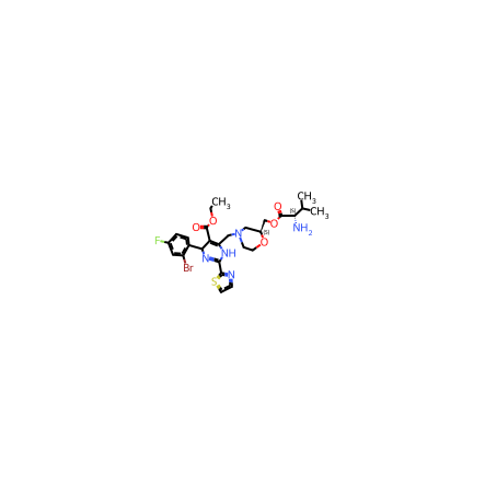 CCOC(=O)C1=C(CN2CCO[C@H](COC(=O)[C@@H](N)C(C)C)C2)NC(c2nccs2)=NC1c1ccc(F)cc1Br